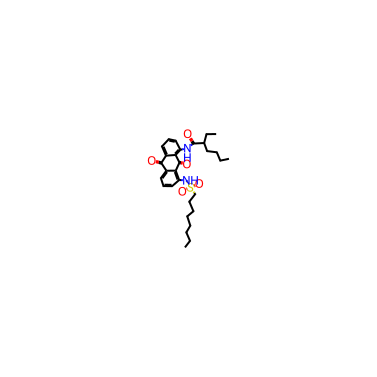 CCCCCCCCS(=O)(=O)Nc1cccc2c1C(=O)c1c(NC(=O)C(CC)CCCC)cccc1C2=O